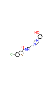 O=C(NCCCCN1CCN(c2cccc(O)c2)CC1)C1=Cc2cc(Cl)ccc2SC1